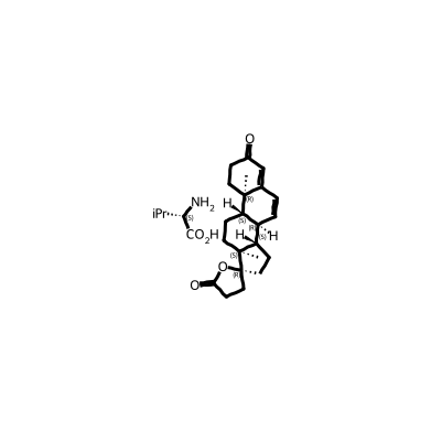 CC(C)[C@H](N)C(=O)O.C[C@]12CCC(=O)C=C1C=C[C@@H]1[C@@H]2CC[C@@]2(C)[C@H]1CC[C@@]21CCC(=O)O1